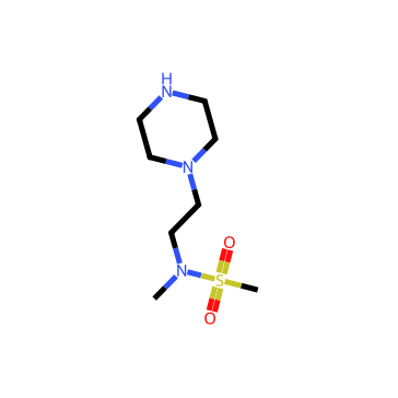 CN(CCN1CCNCC1)S(C)(=O)=O